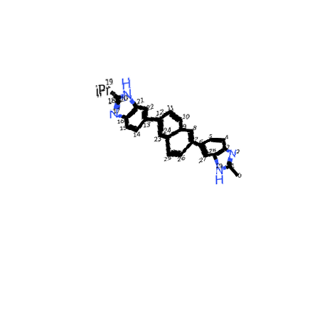 Cc1nc2ccc(C3=CC4C=CC(c5ccc6nc(C(C)C)[nH]c6c5)=CC4C=C3)cc2[nH]1